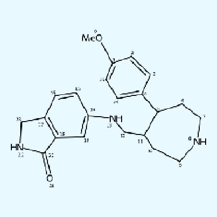 COc1ccc(C2CCNCCC2CNc2ccc3c(c2)C(=O)NC3)cc1